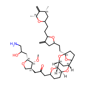 C=C1CC(CC[C@]23CCC(O2)[C@H]2C[C@@H](O3)[C@H]3OC(CC(=O)C[C@H]4CO[C@H](CC(O)CN)[C@@H]4OC)CC[C@@H]3O2)OC1CCC1C[C@@H](C)C(=C)[C@@H](C)O1